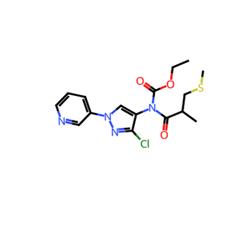 CCOC(=O)N(C(=O)C(C)CSC)c1cn(-c2cccnc2)nc1Cl